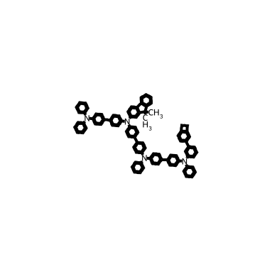 CC1(C)c2ccccc2-c2ccc(N(c3ccc(-c4ccc(N(c5ccccc5)c5ccccc5)cc4)cc3)c3ccc(-c4ccc(N(c5ccccc5)c5ccc(-c6ccc(N(c7ccccc7)c7cccc(-c8ccc9c(c8)CC9)c7)cc6)cc5)cc4)cc3)cc21